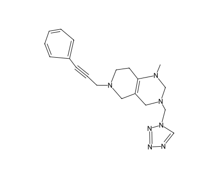 CN1CN(Cn2cnnn2)CC2=C1CCN(CC#Cc1ccccc1)C2